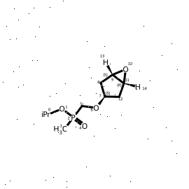 CC(C)OP(C)(=O)CO[C@H]1C[C@@H]2O[C@@H]2C1